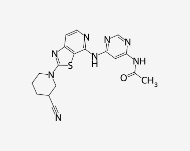 CC(=O)Nc1cc(Nc2nccc3nc(N4CCCC(C#N)C4)sc23)ncn1